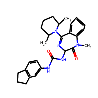 CC1CCCC(C)N1C1=NC(NC(=O)Nc2ccc3c(c2)CCC3)C(=O)N(C)c2ccccc21